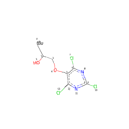 CC(C)(C)C(O)COc1c(Cl)nc(Cl)nc1Cl